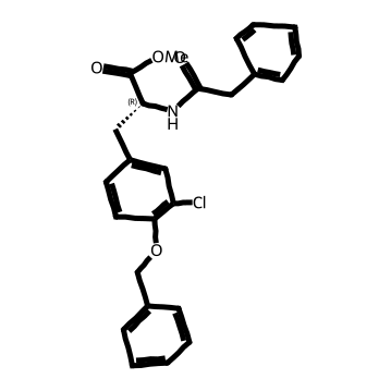 COC(=O)[C@@H](Cc1ccc(OCc2ccccc2)c(Cl)c1)NC(=O)Cc1ccccc1